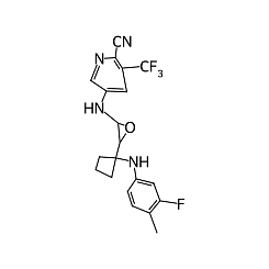 Cc1ccc(NC2(C3OC3Nc3cnc(C#N)c(C(F)(F)F)c3)CCC2)cc1F